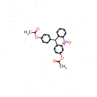 CC(=O)Oc1ccc(C(c2ccc(OC(C)=O)cc2)c2ccccc2[N+](=O)[O-])cc1